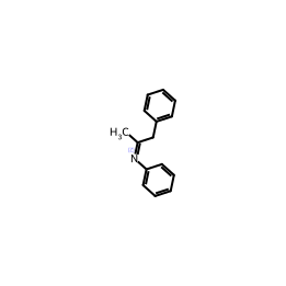 C/C(Cc1ccccc1)=N/c1ccccc1